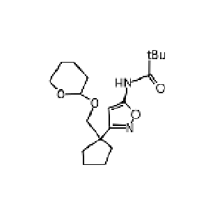 CC(C)(C)C(=O)Nc1cc(C2(COC3CCCCO3)CCCC2)no1